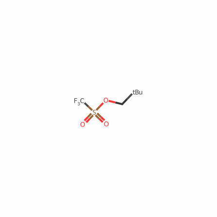 CC(C)(C)COS(=O)(=O)C(F)(F)F